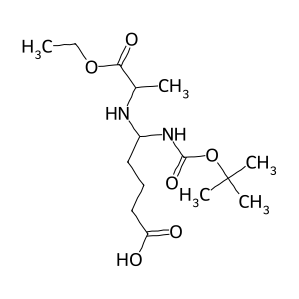 CCOC(=O)C(C)NC(CCCC(=O)O)NC(=O)OC(C)(C)C